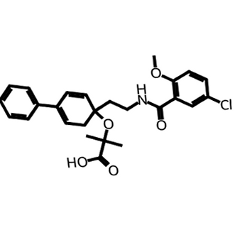 COc1ccc(Cl)cc1C(=O)NCCC1(OC(C)(C)C(=O)O)C=CC(c2ccccc2)=CC1